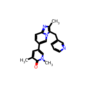 Cc1nc2ccc(-c3cc(C)c(=O)n(C)c3)cn2c1Cc1cccnc1